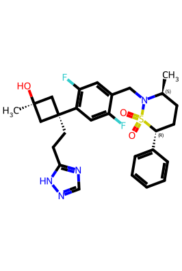 C[C@H]1CC[C@H](c2ccccc2)S(=O)(=O)N1Cc1cc(F)c([C@]2(CCc3ncn[nH]3)C[C@](C)(O)C2)cc1F